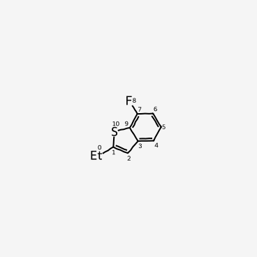 [CH2]Cc1cc2cccc(F)c2s1